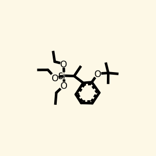 CCO[Si](OCC)(OCC)C(C)c1ccccc1OC(C)(C)C